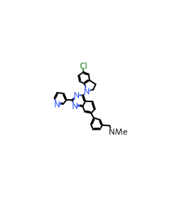 CNCc1cccc(-c2ccc3c(N4CCc5cc(Cl)ccc54)nc(-c4cccnc4)nc3c2)c1